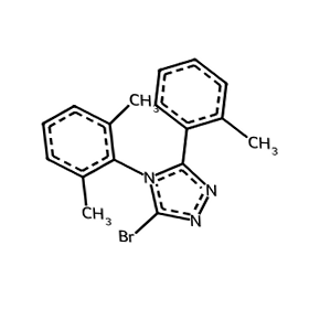 Cc1ccccc1-c1nnc(Br)n1-c1c(C)cccc1C